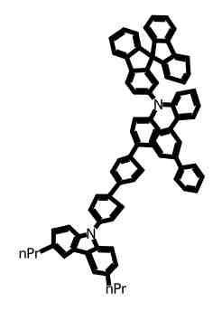 CCCc1ccc2c(c1)c1cc(CCC)ccc1n2-c1ccc(-c2ccc(-c3ccc(N(c4ccc5c(c4)C4(c6ccccc6-c6ccccc64)c4ccccc4-5)c4ccccc4-c4cccc(-c5ccccc5)c4)cc3)cc2)cc1